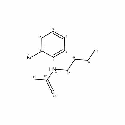 Brc1ccccc1.CCCCNC(C)=O